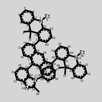 CCN1c2ccccc2C(C)(C)c2c(-c3cccc4c(-c5cccc6nc(C)n(-c7ccccc7)c56)c5cccc(-c6cccc7c6C(C)(C)c6ccccc6N7CC)c5cc34)cccc21